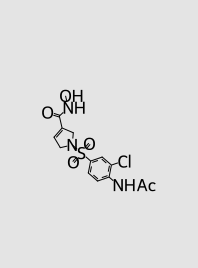 CC(=O)Nc1ccc(S(=O)(=O)N2CC=C(C(=O)NO)C2)cc1Cl